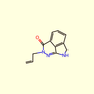 C=CCn1nc2c3c(cccc3c1=O)[C]N2